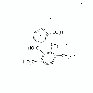 Cc1ccc(C(=O)O)c(C(=O)O)c1C.O=C(O)c1ccccc1